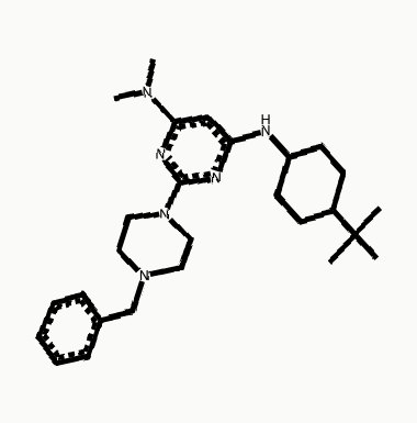 CN(C)c1cc(NC2CCC(C(C)(C)C)CC2)nc(N2CCN(Cc3ccccc3)CC2)n1